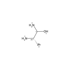 CC(C)[C@H](N)C(N)O